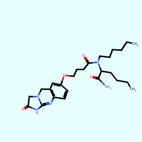 CCCCCCN(C(=O)CCCOc1ccc2c(c1)CN1CC(=O)NC1=N2)C(CCCC)C(N)=O